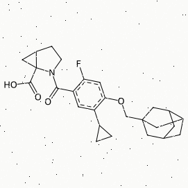 O=C(c1cc(C2CC2)c(OCC23CC4CC(C2)C(C4)C3)cc1F)N1CCC2CC21C(=O)O